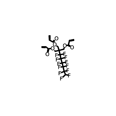 C=CC(=O)OCC(COC(=O)C=C)(COC(=O)C=C)C(F)(F)C(F)(F)C(F)(F)C(F)(F)C(F)(F)C(F)F